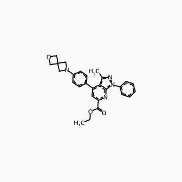 CCOC(=O)c1cc(-c2ccc(N3CC4(COC4)C3)cc2)c2c(C)nn(-c3ccccc3)c2n1